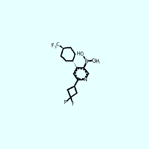 OB(O)c1cnc(C2CC(F)(F)C2)cc1[C@H]1CC[C@H](C(F)(F)F)CC1